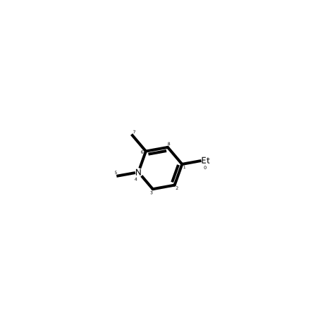 CCC1=CCN(C)C(C)=C1